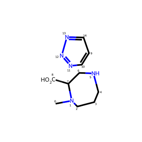 CN1CCCNCC1C(=O)O.c1cnnnc1